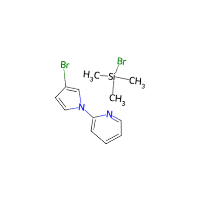 Brc1ccn(-c2ccccn2)c1.C[Si](C)(C)Br